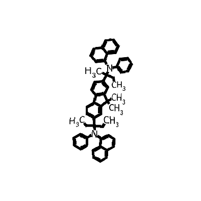 CCC(C)(c1ccc2c(c1)C(C)(C)c1cc(C(CC)(CC)N(c3ccccc3)c3cccc4ccccc34)ccc1-2)N(c1ccccc1)c1cccc2ccccc12